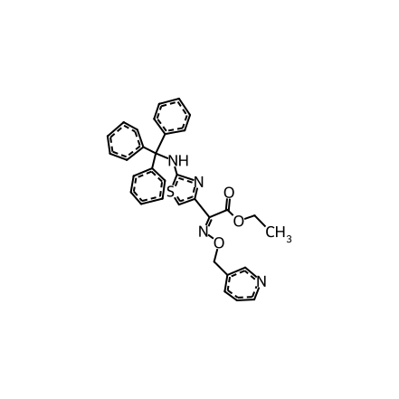 CCOC(=O)C(=NOCc1cccnc1)c1csc(NC(c2ccccc2)(c2ccccc2)c2ccccc2)n1